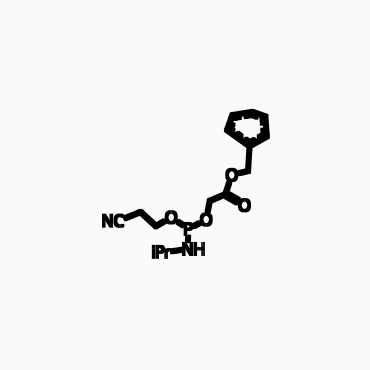 CC(C)NP(OCCC#N)OCC(=O)OCc1ccccc1